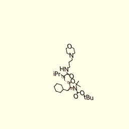 CC(C)[C@H](C[C@@H]1OC(C)(C)N(C(=O)OC(C)(C)C)[C@H]1CC1CCCCC1)C(=O)NCCCN1CCOCC1